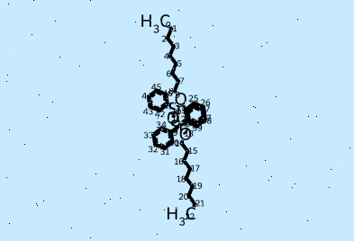 CCCCCCCCC[O][Sn]([O][Sn]([O]CCCCCCCCC)([c]1ccccc1)[c]1ccccc1)([c]1ccccc1)[c]1ccccc1